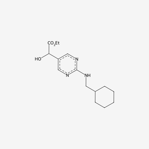 CCOC(=O)C(O)c1cnc(NCC2CCCCC2)nc1